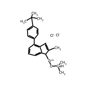 CC1=Cc2c(-c3ccc(C(C)(C)C)cc3)cccc2[CH]1[Zr+2][O][GeH]([CH3])[CH3].[Cl-].[Cl-]